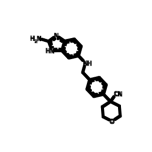 N#CC1(c2ccc(CNc3ccc4nc(N)[nH]c4c3)cc2)CCOCC1